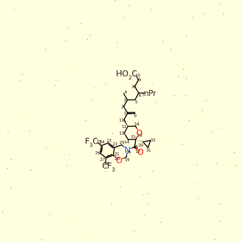 C=C(CC(C)CC(CCC)CCC(=O)O)C[C@@H]1CC[C@@](C(=O)N2COc3c(cc(C(F)(F)F)cc3C(F)(F)F)C2)(C2CC2)OC1